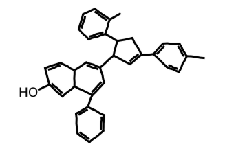 Cc1ccc(C2=CC(C3=CC4C=CC(O)=CC4C(c4ccccc4)=C3)C(c3ccccc3C)C2)cc1